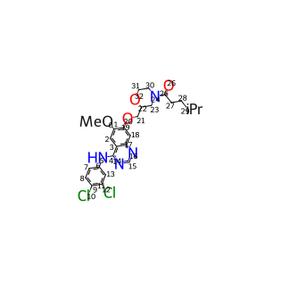 COc1cc2c(Nc3ccc(Cl)c(Cl)c3)ncnc2cc1OCC1CN(C(=O)CCC(C)C)CCO1